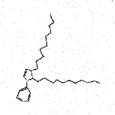 CCCCCCCCCCCC1N(CCCCCCCCCC)C=CN1c1ccccc1